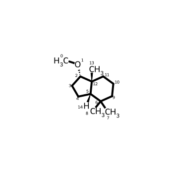 CO[C@H]1CC[C@H]2C(C)(C)CCC[C@@]12C